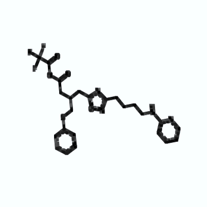 O=C(CC(CSc1ccccc1)Cc1nc(CCCCNc2ccccn2)no1)OC(=O)C(F)(F)F